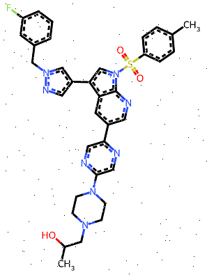 Cc1ccc(S(=O)(=O)n2cc(-c3cnn(Cc4cccc(F)c4)c3)c3cc(-c4cnc(N5CCN(CC(C)O)CC5)cn4)cnc32)cc1